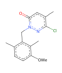 COc1ccc(C)c(Cn2nc(Cl)c(C)cc2=O)c1C